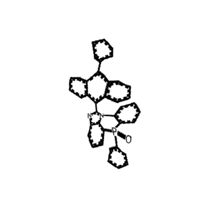 O=P1(c2ccccc2)c2ccccc2-n2c(-c3c4ccccc4c(-c4ccccc4)c4ccccc34)nc3cccc1c32